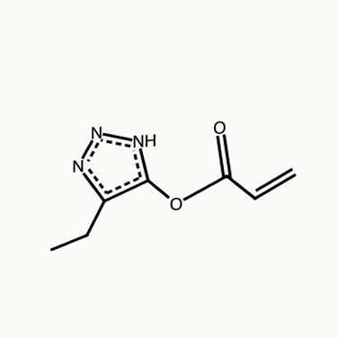 C=CC(=O)Oc1[nH]nnc1CC